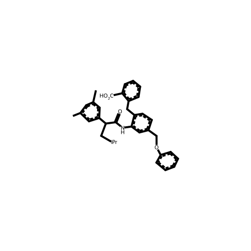 Cc1cc(C)cc(C(CC(C)C)C(=O)Nc2cc(COc3ccccc3)ccc2Cc2ccccc2C(=O)O)c1